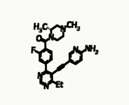 CCc1ncnc(-c2ccc(C(=O)N3CCN(C)C[C@H]3C)c(F)c2)c1C#Cc1ccc(N)nc1